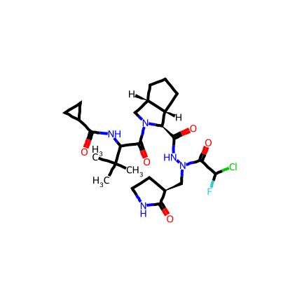 CC(C)(C)C(NC(=O)C1CC1)C(=O)N1C[C@@H]2CCC[C@@H]2[C@H]1C(=O)NN(C[C@@H]1CCNC1=O)C(=O)C(F)Cl